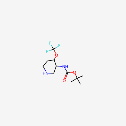 CC(C)(C)OC(=O)NC1CNCCC1OC(F)(F)F